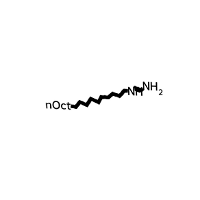 CCCCCCCCCCCCCCCCCCN/C=C/N